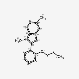 CCCOc1cnccc1-c1nc2cc(C)cnc2n1C